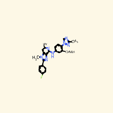 COc1cc(Nc2nc(C(C)C)cc3c2nc(-c2ccc(F)cc2)n3C)ccc1-n1cnc(C)n1